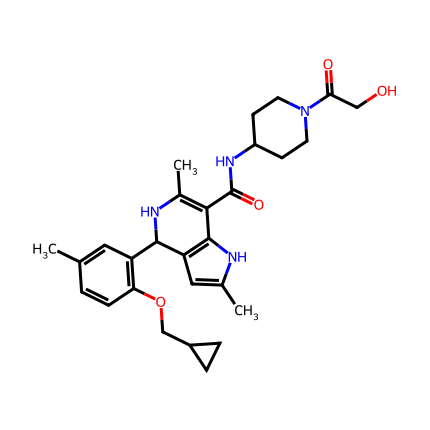 CC1=C(C(=O)NC2CCN(C(=O)CO)CC2)c2[nH]c(C)cc2C(c2cc(C)ccc2OCC2CC2)N1